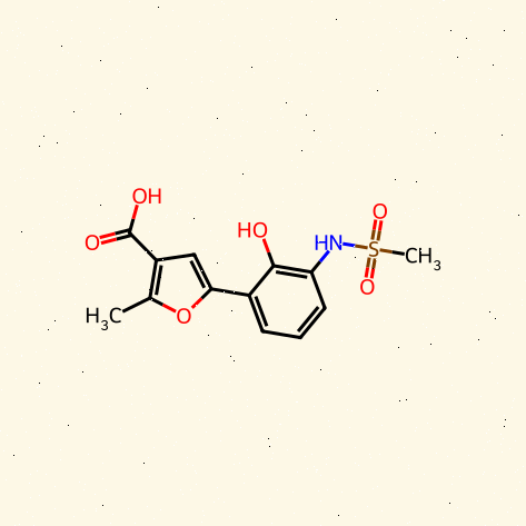 Cc1oc(-c2cccc(NS(C)(=O)=O)c2O)cc1C(=O)O